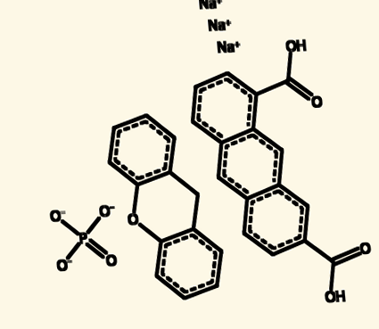 O=C(O)c1ccc2cc3cccc(C(=O)O)c3cc2c1.O=P([O-])([O-])[O-].[Na+].[Na+].[Na+].c1ccc2c(c1)Cc1ccccc1O2